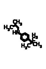 CC(C)CNc1ccc(C(C)(C)C)cc1